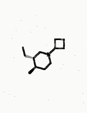 CC[C@@H]1CN(C2CCC2)CC[C@H]1C